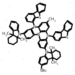 Cc1cc2c3c(c1)N(c1cccc4c1sc1ccccc14)c1cc(N4c5ccccc5C5(C)CCCCC45C)ccc1B3c1ccc(N3c4ccc(C(C)(C)C)cc4C4(C)CCCCC34C)cc1N2c1ccc2sc3ccccc3c2c1